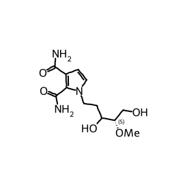 CO[C@@H](CO)C(O)CCn1ccc(C(N)=O)c1C(N)=O